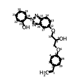 C=Cc1ccc(OCC(O)COc2ccc3nn(-c4ccccc4O)nc3c2)cc1